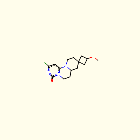 COC1CC2(CCN3c4cc(Cl)nc(=O)n4CCC3C2)C1